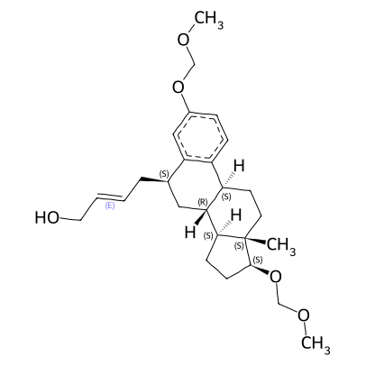 COCOc1ccc2c(c1)[C@H](C/C=C/CO)C[C@@H]1[C@@H]2CC[C@]2(C)[C@@H](OCOC)CC[C@@H]12